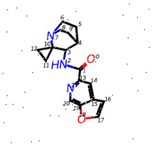 O=C(NC1C2CCN(CC2)C12CC2)c1cc2ccoc2cn1